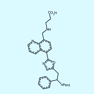 CCCCCC(Cc1nnc(-c2ccc(CNCCC(=O)O)c3ncccc23)o1)c1ccccc1